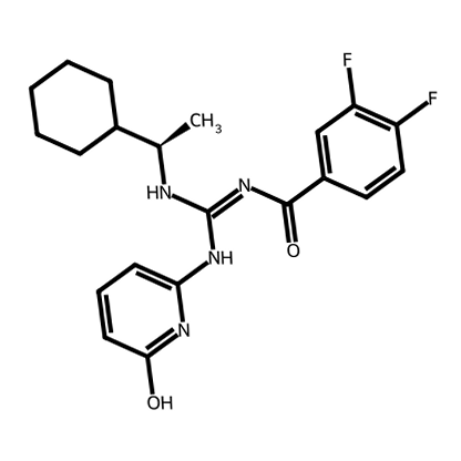 C[C@@H](N/C(=N/C(=O)c1ccc(F)c(F)c1)Nc1cccc(O)n1)C1CCCCC1